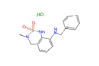 CN1Cc2cccc(NCc3ccccc3)c2NS1(=O)=O.Cl